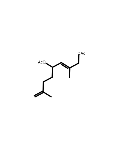 C=C(C)CCC(C=C(C)COC(C)=O)OC(C)=O